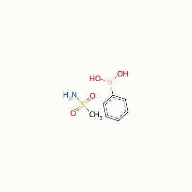 CS(N)(=O)=O.OB(O)c1ccccc1